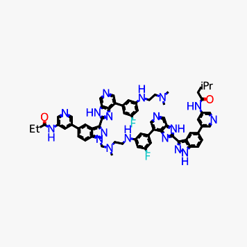 CCC(=O)Nc1cncc(-c2ccc3c(c2)c(-c2nc4c(-c5cc(F)cc(NCCN(C)C)c5)cncc4[nH]2)nn3CN(C)CCNc2cc(F)cc(-c3cncc4[nH]c(-c5n[nH]c6ccc(-c7cncc(NC(=O)CC(C)C)c7)cc56)nc34)c2)c1